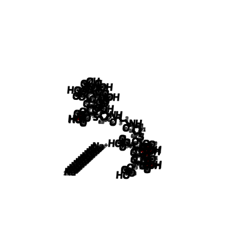 O=C(CCCC(=O)Nc1ccc(S[C@@H]2O[C@H](COS(=O)(=O)O)[C@@H](O[C@@H]3O[C@H](COS(=O)(=O)O)[C@@H](OS(=O)(=O)O)[C@H](OS(=O)(=O)O)[C@H]3OS(=O)(=O)O)[C@H](OS(=O)(=O)O)[C@H]2OS(=O)(=O)O)cc1)Nc1ccc(S[C@@H]2O[C@H](COS(=O)(=O)O)[C@@H](O[C@@H]3O[C@H](COS(=O)(=O)O)[C@@H](OS(=O)(=O)O)[C@H](OS(=O)(=O)O)[C@H]3OS(=O)(=O)O)[C@H](OS(=O)(=O)O)[C@H]2OS(=O)(=O)O)cc1.[Na+].[Na+].[Na+].[Na+].[Na+].[Na+].[Na+].[Na+].[Na+].[Na+].[Na+].[Na+].[Na+].[Na+]